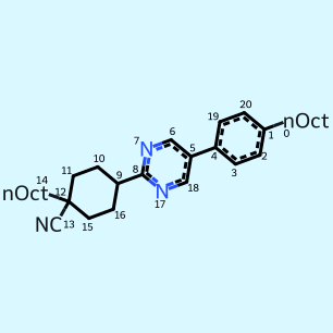 CCCCCCCCc1ccc(-c2cnc(C3CCC(C#N)(CCCCCCCC)CC3)nc2)cc1